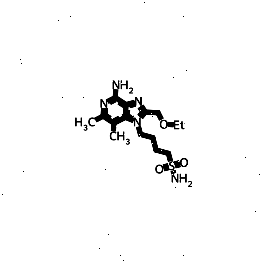 CCOCc1nc2c(N)nc(C)c(C)c2n1CCCCS(N)(=O)=O